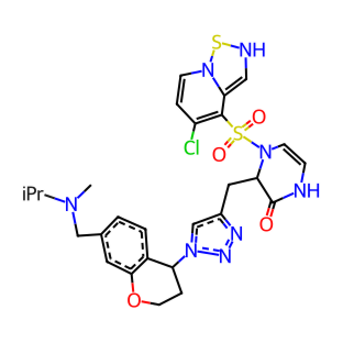 CC(C)N(C)Cc1ccc2c(c1)OCCC2n1cc(CC2C(=O)NC=CN2S(=O)(=O)C2=C(Cl)C=CN3SNC=C23)nn1